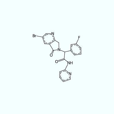 O=C(Nc1ccccn1)C(c1cccc(F)c1)N1Cc2ncc(Br)cc2C1=O